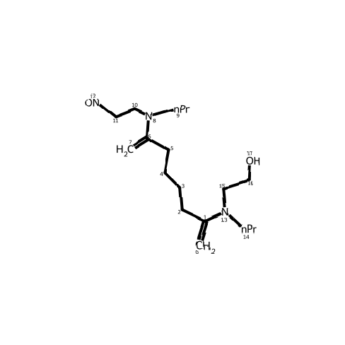 C=C(CCCCC(=C)N(CCC)CCN=O)N(CCC)CCO